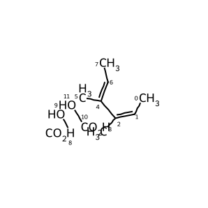 CC=C(C)C(C)=CC.O=C(O)O.O=C(O)O